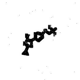 CC(F)(F)COc1ccc(-c2sc(C3CC3)nc2Br)nc1